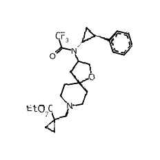 CCOC(=O)C1(CN2CCC3(CC2)CC(N(C(=O)C(F)(F)F)[C@@H]2C[C@H]2c2ccccc2)CO3)CC1